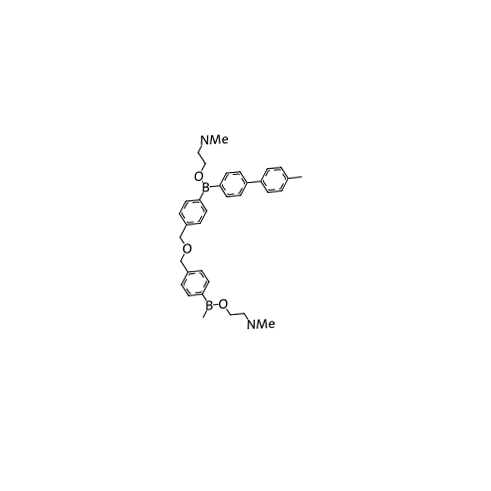 CNCCOB(C)c1ccc(COCc2ccc(B(OCCNC)c3ccc(-c4ccc(C)cc4)cc3)cc2)cc1